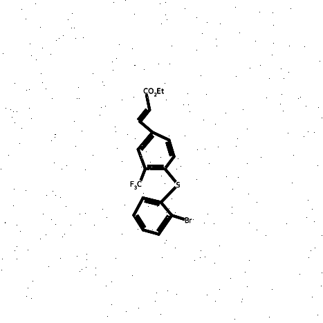 CCOC(=O)C=Cc1ccc(Sc2ccccc2Br)c(C(F)(F)F)c1